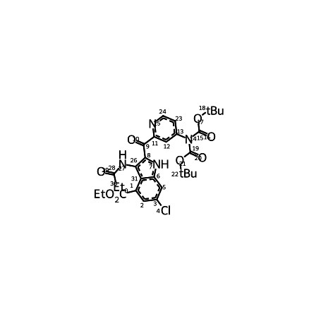 CCOC(=O)c1cc(Cl)cc2[nH]c(C(=O)c3cc(N(C(=O)OC(C)(C)C)C(=O)OC(C)(C)C)ccn3)c(NC(=O)CC)c12